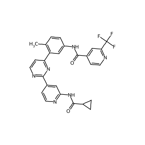 Cc1ccc(NC(=O)c2ccnc(C(F)(F)F)c2)cc1-c1ccnc(-c2ccnc(NC(=O)C3CC3)c2)n1